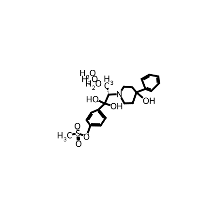 C[C@H](N1CCC(O)(c2ccccc2)CC1)C(O)(O)c1ccc(OS(C)(=O)=O)cc1.O.O.O